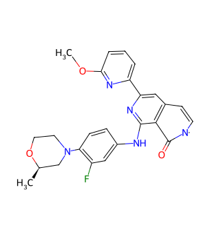 COc1cccc(-c2cc3c(c(Nc4ccc(N5CCO[C@H](C)C5)c(F)c4)n2)C(=O)[N]C=C3)n1